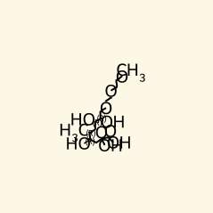 COCCOCCOC[C@@H](O)[C@@H](O)C1OC(O)(C(=O)O)C[C@@H](O)[C@H]1C